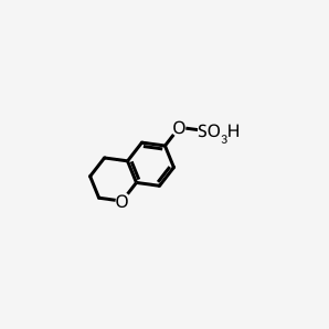 O=S(=O)(O)Oc1ccc2c(c1)CCCO2